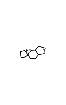 C1CCC2(C1)CCC1COCC1N2